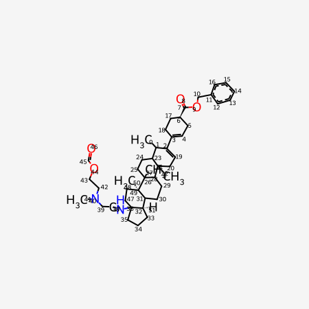 CC1C(C2=CC[C@H](C(=O)OCc3ccccc3)CC2)=CCC2(C)C1CCC1(C)C2CCC2[C@H]3CCCC3(NCCN(C)CCOC=O)CC[C@]21C